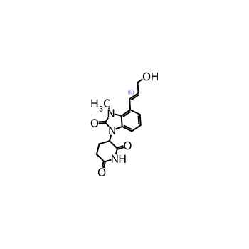 Cn1c(=O)n(C2CCC(=O)NC2=O)c2cccc(/C=C/CO)c21